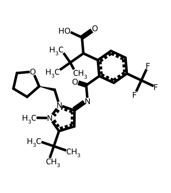 Cn1c(C(C)(C)C)cc(=NC(=O)c2cc(C(F)(F)F)ccc2C(C(=O)O)C(C)(C)C)n1C[C@H]1CCCO1